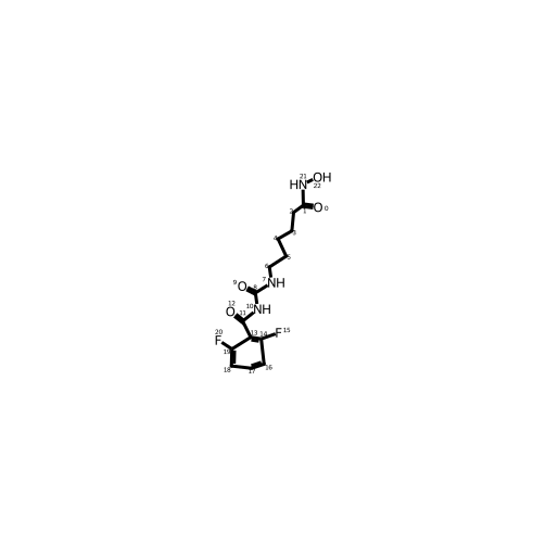 O=C(CCCCCNC(=O)NC(=O)c1c(F)cccc1F)NO